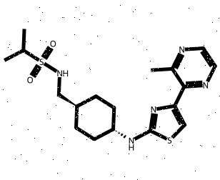 Cc1nccnc1-c1csc(N[C@H]2CC[C@H](CNS(=O)(=O)C(C)C)CC2)n1